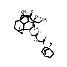 CC[C@]1(C)C[C@@H](OC(=O)NC(=O)[C@H]2CN3CC[C@@H]2C3)[C@]23C[C@@H]2CCC2(CC[C@@H](OC)C23)[C@@H](C)C1=O